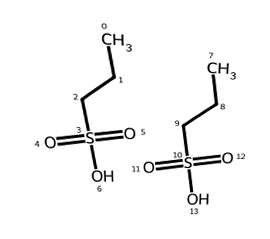 CCCS(=O)(=O)O.CCCS(=O)(=O)O